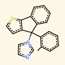 Cc1ccccc1C1(n2ccnc2)c2ccccc2-c2sccc21